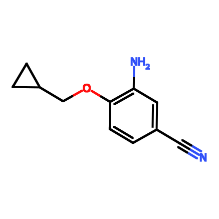 N#Cc1ccc(OCC2CC2)c(N)c1